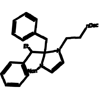 CCCCCCCCCCCCN1C=CN(CCCCCCCCC)C1(Cc1ccccc1)C(CC)c1ccccc1